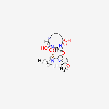 COc1ccc2c(O[C@@H]3C[C@H]4C(=O)N[C@]5(C(=O)O)C[C@H]5/C=C/CCCCCC(O)C(=O)N4C3)cc(-c3nc(C(C)C)cs3)nc2c1C